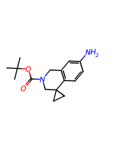 CC(C)(C)OC(=O)N1Cc2cc(N)ccc2C2(CC2)C1